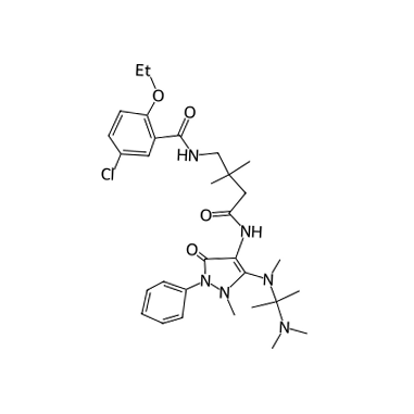 CCOc1ccc(Cl)cc1C(=O)NCC(C)(C)CC(=O)Nc1c(N(C)C(C)(C)N(C)C)n(C)n(-c2ccccc2)c1=O